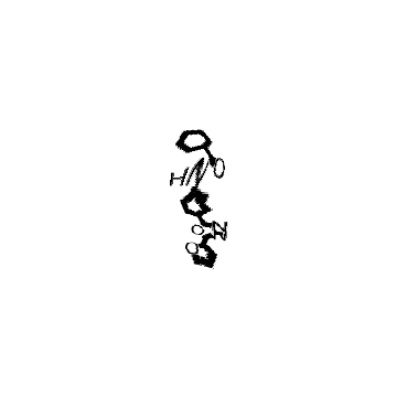 O=C(Nc1ccc(-c2nnc(-c3ccco3)o2)cc1)C1CCCCC1